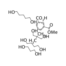 CC(C)(CO)CO.COC(=O)c1cccc(C(=O)O)c1.OCCCCCO.OCCCCO.OCCCO